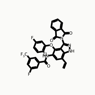 C=Cc1cc(NC(=O)c2cc(F)cc(C(F)(F)F)c2)c(Oc2cc(F)ccc2Cl)c2c(N3C(=O)c4ccccc4C3=O)n[nH]c12